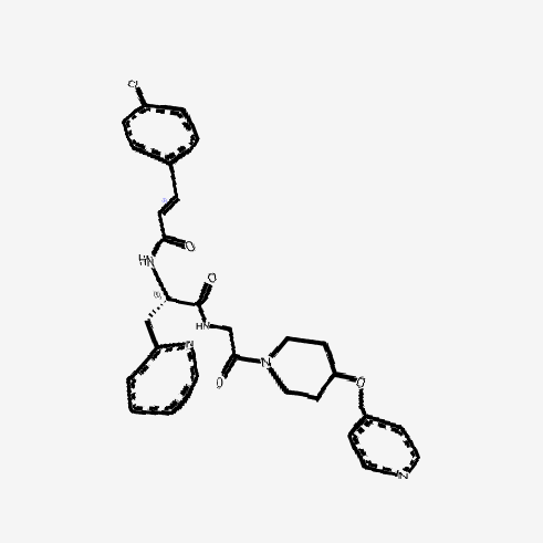 O=C(/C=C/c1ccc(Cl)cc1)N[C@@H](Cc1ccccn1)C(=O)NCC(=O)N1CCC(Oc2ccncc2)CC1